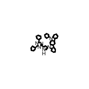 c1ccc(-c2nc(-c3ccccc3)nc(-c3cc(-n4c5ccccc5c5cc6c7ccccc7n(-c7ccccc7)c6cc54)c[nH]3)n2)cc1